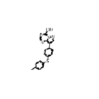 Cc1ccc(Sc2ccc(-c3cnn4c(O)ncnc34)cc2)cc1